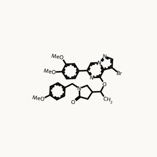 COc1ccc(CN2CC(C(C)Oc3nc(-c4ccc(OC)c(OC)c4)cn4ncc(Br)c34)CC2=O)cc1